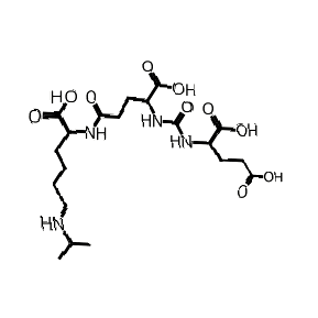 CC(C)NCCCCC(NC(=O)CCC(NC(=O)NC(CCC(=O)O)C(=O)O)C(=O)O)C(=O)O